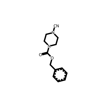 N#CN1CCN(C(=O)OCc2ccccc2)CC1